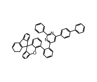 C1=CC2=C(CC1)C1(c3ccccc3Oc3c(-c4ccccc4-c4cc(-c5ccc(-c6ccccc6)cc5)nc(-c5ccccc5)n4)cccc31)c1ccccc12